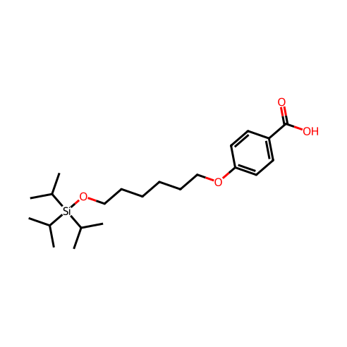 CC(C)[Si](OCCCCCCOc1ccc(C(=O)O)cc1)(C(C)C)C(C)C